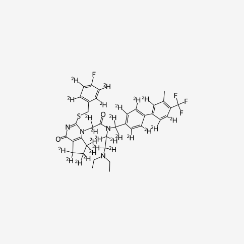 [2H]c1c([2H])c(CSc2nc(=O)c3c(n2C([2H])([2H])C(=O)N(C([2H])([2H])c2c([2H])c([2H])c(-c4c([2H])c([2H])c(C(F)(F)F)c(C)c4[2H])c([2H])c2[2H])C([2H])([2H])C([2H])([2H])N(CC)CC)C([2H])([2H])C([2H])([2H])C3([2H])[2H])c([2H])c([2H])c1F